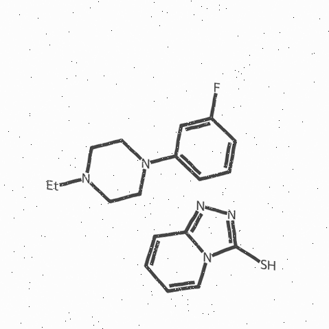 CCN1CCN(c2cccc(F)c2)CC1.Sc1nnc2ccccn12